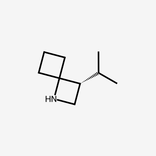 CC(C)[C@@H]1CNC12CCC2